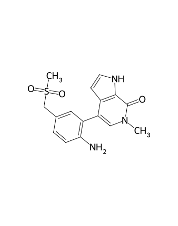 Cn1cc(-c2cc(CS(C)(=O)=O)ccc2N)c2cc[nH]c2c1=O